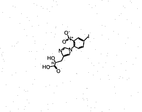 O=C(O)[C@@H](O)Cc1cn(-c2ccc(I)cc2[N+](=O)[O-])cn1